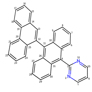 c1cnc(-c2c3ccccc3c(-c3cc4ccccc4c4ccccc34)c3ccccc23)nc1